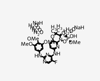 COc1cc(Nc2ncc(F)c(Nc3ccc4c(n3)N(OP(=O)(O)OC)C(=O)C(C)(C)O4)n2)cc(OC)c1OC.O.O.O.O.O.O.[NaH].[NaH]